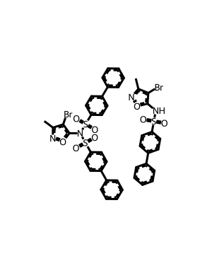 Cc1noc(N(S(=O)(=O)c2ccc(-c3ccccc3)cc2)S(=O)(=O)c2ccc(-c3ccccc3)cc2)c1Br.Cc1noc(NS(=O)(=O)c2ccc(-c3ccccc3)cc2)c1Br